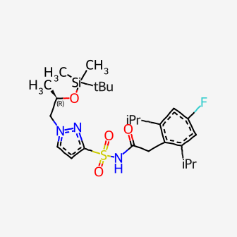 CC(C)c1cc(F)cc(C(C)C)c1CC(=O)NS(=O)(=O)c1ccn(C[C@@H](C)O[Si](C)(C)C(C)(C)C)n1